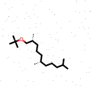 CC(C)CCC[C@H](C)CCC[C@@H](C)COC(C)(C)C